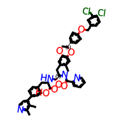 Cc1nccc(-c2ccc(CC(NC(=O)[C@@H]3Cc4cc5c(cc4CN3C(=O)c3ccccn3)O[C@@H](c3ccc(OCc4ccc(Cl)c(Cl)c4)cc3)CO5)C(=O)O)cc2)c1C